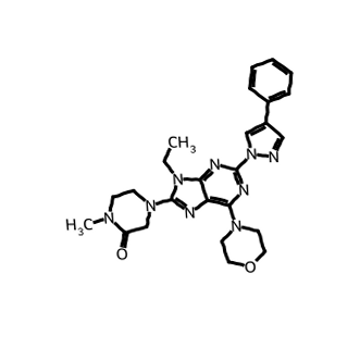 CCn1c(N2CCN(C)C(=O)C2)nc2c(N3CCOCC3)nc(-n3cc(-c4ccccc4)cn3)nc21